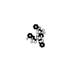 O=C(N[C@@H](Cc1ccccc1)C(=O)N1C[C@@H]2C[C@H]1CN2C(=O)c1nc2ccccc2[nH]1)c1cc2cccc(F)c2[nH]1